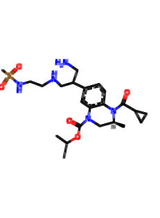 CC(C)OC(=O)N1C[C@H](C)N(C(=O)C2CC2)c2ccc(C(CN)CNCCNS(C)(=O)=O)cc21